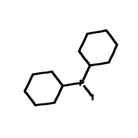 IP(C1CCCCC1)C1CCCCC1